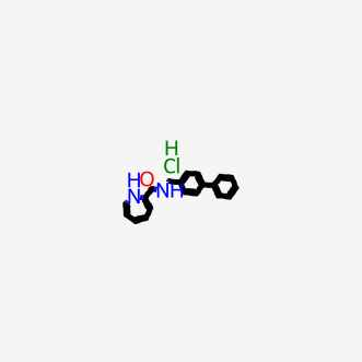 Cl.O=C(NCc1ccc(-c2ccccc2)cc1)C1=CC=CC=CN1